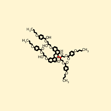 CCCCOc1ccc(C(=O)OCC(O)COc2ccc3ccc(OCC(O)COC(=O)c4ccc(OCCCC)cc4)c(Cc4c(OCC(O)COC(=O)c5ccc(OCCCC)cc5)ccc5ccc(OCC(O)COC(O)c6ccc(OCCCC)cc6)cc45)c3c2)cc1